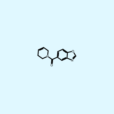 O=C(c1ccc2ocnc2c1)N1CC=CCC1